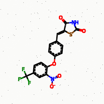 O=C1NC(=O)C(=Cc2ccc(Oc3ccc(C(F)(F)F)cc3[N+](=O)[O-])cc2)S1